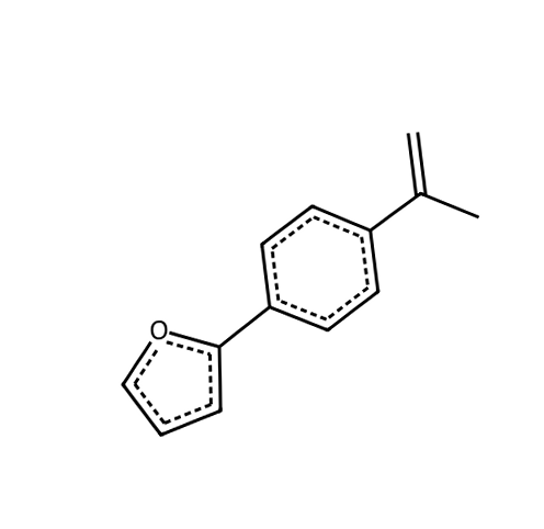 C=C(C)c1ccc(-c2ccco2)cc1